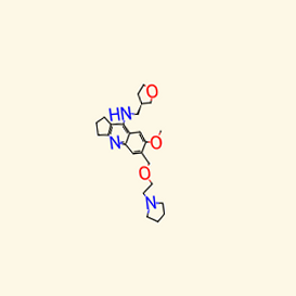 COc1cc2c(NC[C@H]3CCOC3)c3c(nc2cc1COCCN1CCCC1)CCC3